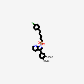 COc1ccc(-c2cn(S(=O)(=O)CC=CCCc3ccc(Cl)cc3)c3ncccc23)cc1OC